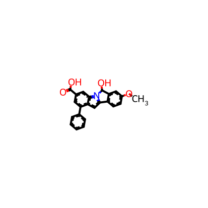 COc1ccc2c(c1)C(O)n1c-2cc2c(-c3ccccc3)cc(C(=O)O)cc21